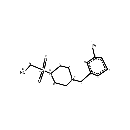 CC(C)c1cccc(CN2CCN(S(=O)(=O)CC#N)CC2)c1